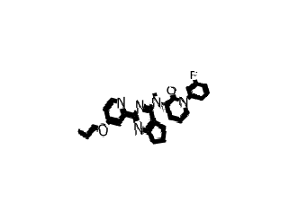 CCCOc1ccnc(-c2nc3c(c(N(C)[C@H]4CCCN(c5cccc(F)c5)C4=O)n2)CCC3)c1